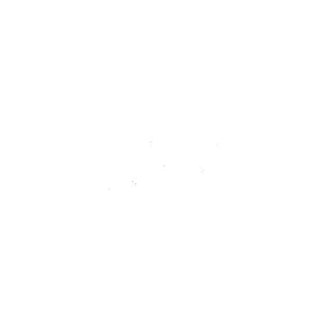 CCCCOC(=O)c1ccccc1C1c2ccc(N(CC)CC)cc2Oc2cc(Cl)c(N3CCCC3)cc21